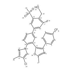 Cc1nc(-c2ccc(C(F)(F)F)cc2)c(-c2cc(-c3cc(F)c(CO)c(S(C)(=O)=O)c3)ccc2-n2cc(Cl)c(C)n2)o1